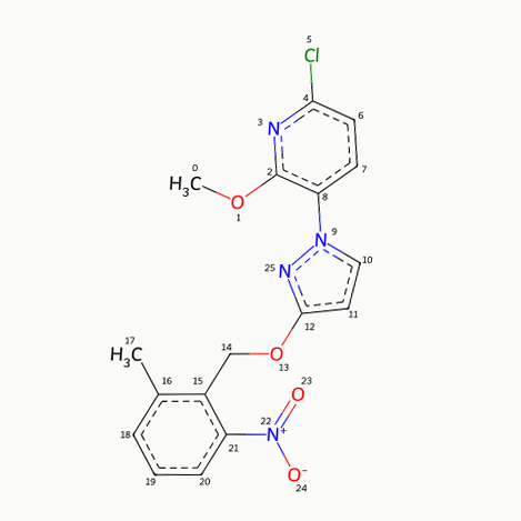 COc1nc(Cl)ccc1-n1ccc(OCc2c(C)cccc2[N+](=O)[O-])n1